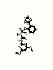 COc1cc(OC)nc(NC(=O)NS(=O)(=O)Oc2ccccc2-c2nnco2)n1